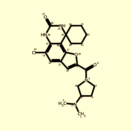 CN(C)C1CCN(C(=O)c2cc3cc(Cl)c4c(c3o2)C2(CCCCC2)NC(=O)N4)C1